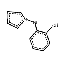 Oc1ccccc1Nn1cccc1